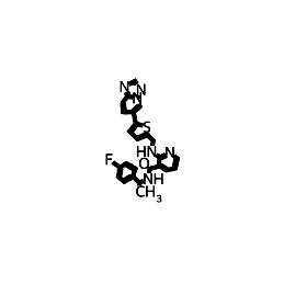 CC(NC(=O)c1cccnc1NCc1ccc(-c2ccc3ncnn3c2)s1)c1ccc(F)cc1